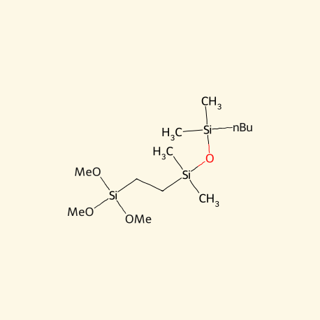 CCCC[Si](C)(C)O[Si](C)(C)CC[Si](OC)(OC)OC